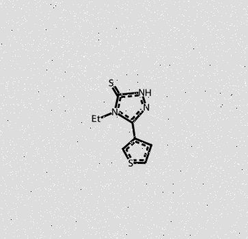 [CH2]Cn1c(-c2ccsc2)n[nH]c1=S